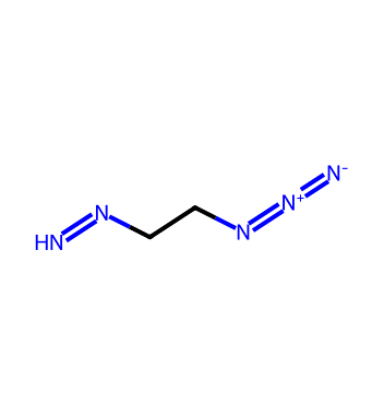 [N-]=[N+]=NCCN=N